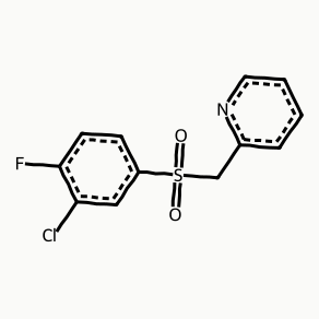 O=S(=O)(Cc1ccccn1)c1ccc(F)c(Cl)c1